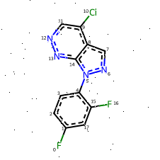 Fc1ccc(-n2ncc3c(Cl)cnnc32)c(F)c1